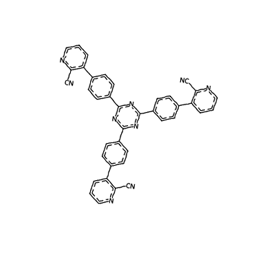 N#Cc1ncccc1-c1ccc(-c2nc(-c3ccc(-c4cccnc4C#N)cc3)nc(-c3ccc(-c4cccnc4C#N)cc3)n2)cc1